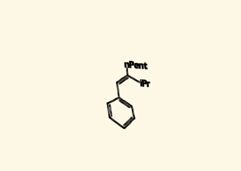 CCCCCC(=Cc1ccccc1)C(C)C